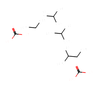 CC(C)C.CC(C)C.CCC.CCC(C)C.O=C(O)O.O=C(O)O